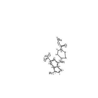 CC(C)c1cnn2c(NC3CCN(C(=O)OC(C)(C)C)CC3)nc(S(C)(=O)=O)nc12